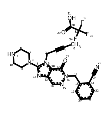 CC#CCn1c(N2CCNCC2)nc2cnn(Cc3ccccc3C#N)c(=O)c21.O=C(O)C(F)(F)F